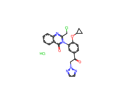 Cl.O=C(Cn1nccn1)c1ccc(OC2CC2)c(-n2c(CCl)nc3ccccc3c2=O)c1